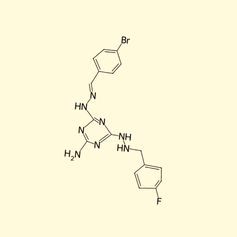 Nc1nc(NN=Cc2ccc(Br)cc2)nc(NNCc2ccc(F)cc2)n1